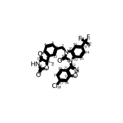 C[C@]1(c2cccc(Cn3c(=O)n(-c4noc5cc(Cl)ccc45)c4ccc(C(F)(F)F)cc43)c2)OC(=O)NC1=O